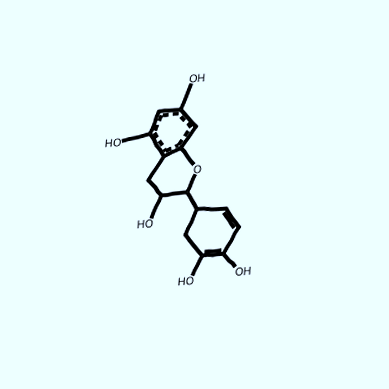 OC1=C(O)CC(C2Oc3cc(O)cc(O)c3CC2O)C=C1